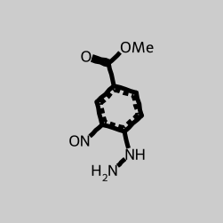 COC(=O)c1ccc(NN)c(N=O)c1